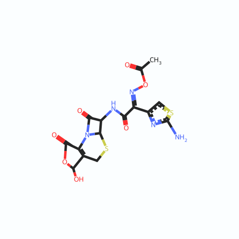 CC(=O)ON=C(C(=O)NC1C(=O)N2C3=C(CSC12)C(O)OC3=O)c1csc(N)n1